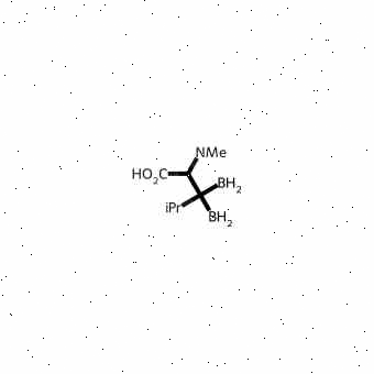 BC(B)(C(C)C)C(NC)C(=O)O